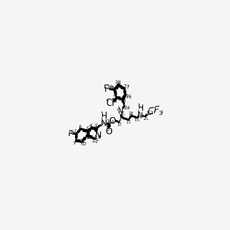 O=C(Nc1cc2cc(F)ccc2cn1)OC[C@H](CCCNCC(F)(F)F)[N]Cc1cccc(F)c1Cl